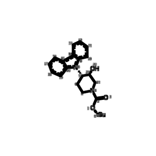 CC(C)(C)OC(=O)N1CC[C@H](n2c3ccccc3c3ccccc32)[C@@H](O)C1